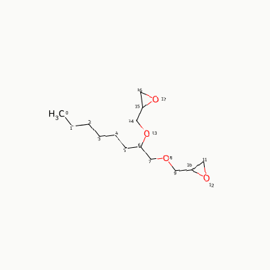 CCCCCCC(COCC1CO1)OCC1CO1